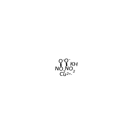 O=[N+]([O-])[O-].O=[N+]([O-])[O-].[Cu+2].[KH]